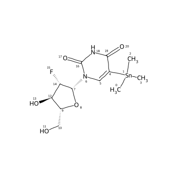 [CH3][Sn]([CH3])([CH3])[c]1cn([C@@H]2O[C@H](CO)[C@@H](O)[C@@H]2F)c(=O)[nH]c1=O